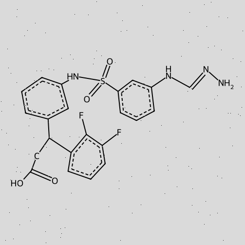 NN=CNc1cccc(S(=O)(=O)Nc2cccc(C(CC(=O)O)c3cccc(F)c3F)c2)c1